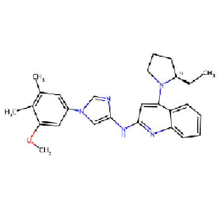 CC[C@@H]1CCCN1c1cc(Nc2cn(-c3cc(C)c(C)c(OC)c3)cn2)nc2ccccc12